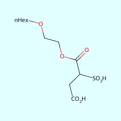 CCCCCCOCCOC(=O)C(CC(=O)O)S(=O)(=O)O